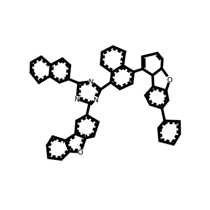 C1=CC2Oc3cc(-c4ccccc4)ccc3C2C(c2ccc(-c3nc(-c4ccc5ccccc5c4)nc(-c4ccc5oc6ccccc6c5c4)n3)c3ccccc23)=C1